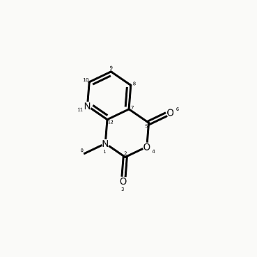 Cn1c(=O)oc(=O)c2cccnc21